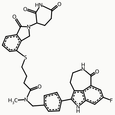 CN(Cc1ccc(-c2[nH]c3cc(F)cc4c3c2CCNC4=O)cc1)C(=O)CCCSc1cccc2c1CN(C1CCC(=O)NC1=O)C2=O